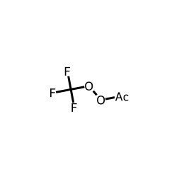 CC(=O)OOC(F)(F)F